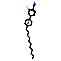 CCCCCCCCCCCC12CCC(c3ccc(C#N)c(F)c3)(CC1)CC2